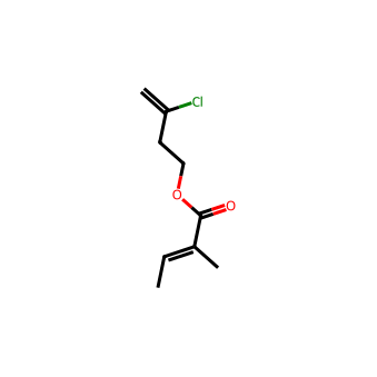 C=C(Cl)CCOC(=O)C(C)=CC